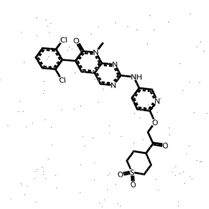 Cn1c(=O)c(-c2c(Cl)cccc2Cl)cc2cnc(Nc3ccc(OCC(=O)C4CCS(=O)(=O)CC4)nc3)nc21